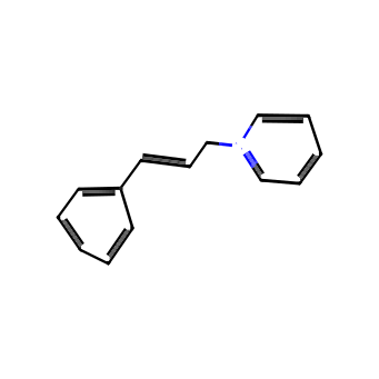 C(=Cc1ccccc1)C[n+]1ccccc1